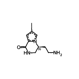 NCC[C@H]1CNC(=O)c2cc(I)cn21